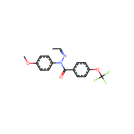 C/C=N\N(C(=O)c1ccc(OC(F)(F)F)cc1)c1ccc(OC)cc1